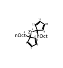 CCCCCCCC[C]1([Zr][C]2(CCCCCCCC)C=CC=C2)C=CC=C1